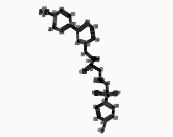 O=C(CNCS(=O)(=O)c1ccc(F)cc1)NCc1cccc(-c2ccc(C(F)(F)F)cc2)c1